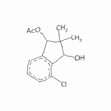 CC(=O)OC1c2cccc(Cl)c2C(O)C1(C)C